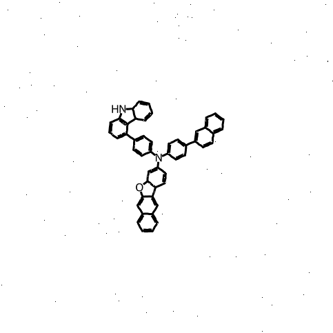 C1=CC2Nc3cccc(-c4ccc(N(C5=CC6Oc7cc8ccccc8cc7C6C=C5)c5ccc(-c6ccc7ccccc7c6)cc5)cc4)c3C2C=C1